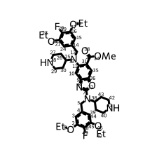 CCOc1cc(CN(c2nc3cc(N(Cc4cc(OCC)c(F)c(OCC)c4)C4CCNCC4)c(C(=O)OC)cc3o2)C2CCNCC2)cc(OCC)c1F